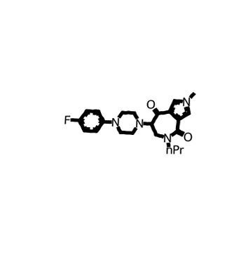 CCCN1CC(N2CCN(c3ccc(F)cc3)CC2)C(=O)c2cn(C)cc2C1=O